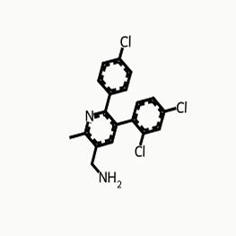 Cc1nc(-c2ccc(Cl)cc2)c(-c2ccc(Cl)cc2Cl)cc1CN